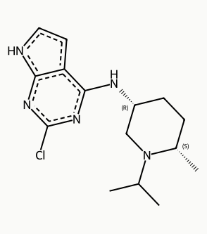 CC(C)N1C[C@H](Nc2nc(Cl)nc3[nH]ccc23)CC[C@@H]1C